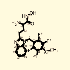 COc1c(F)c(F)c(Cn2c(CCC(N)C(=O)NO)nc3ccccc32)c(F)c1F